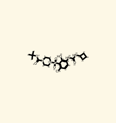 CC(C)(C)OC(=O)N1CCN(S(=O)(=O)c2c(Cl)ccc(NC(=O)NC3CCC3)c2O)CC1